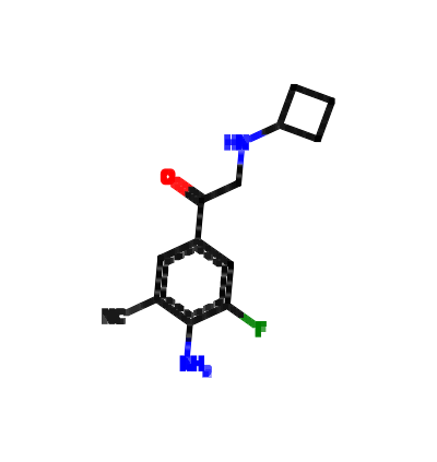 N#Cc1cc(C(=O)CNC2CCC2)cc(F)c1N